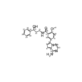 COc1ncc(-c2ccc3c(N)ncnn23)cc1C(=O)NCCC(O)c1ccccc1